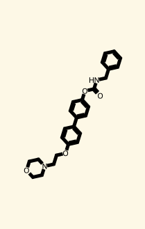 O=C(NCc1ccccc1)Oc1ccc(-c2ccc(OCCN3CCOCC3)cc2)cc1